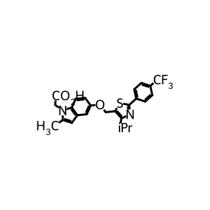 Cc1cc2cc(OCc3sc(-c4ccc(C(F)(F)F)cc4)nc3C(C)C)ccc2n1CC(=O)O